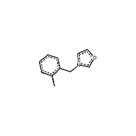 Cc1ccccc1C[n+]1ccoc1